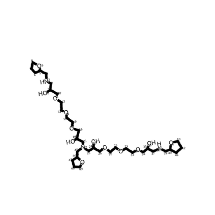 OC(CNCC1CCCO1)COCCOCCOCC(O)CN(CC(O)COCCOCCOCC(O)CNCC1CCCO1)CC1CCCO1